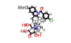 COc1ccc2c(c1)c(CC(=O)O)c(C)n2C(=O)c1ccc(Cl)cc1.C[N+](C)(C)CCO.O=C(CO)CO